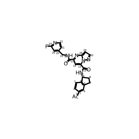 CC(=O)c1ccc2c(c1)CC[C@@H]2NC(=O)c1cc(C(=O)NCc2ccnc(F)c2)nc2ccnn12